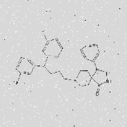 O=C1NCN(c2ccccc2)C12CCN(CCCC(c1cccc(F)c1)c1cccc(F)c1)CC2